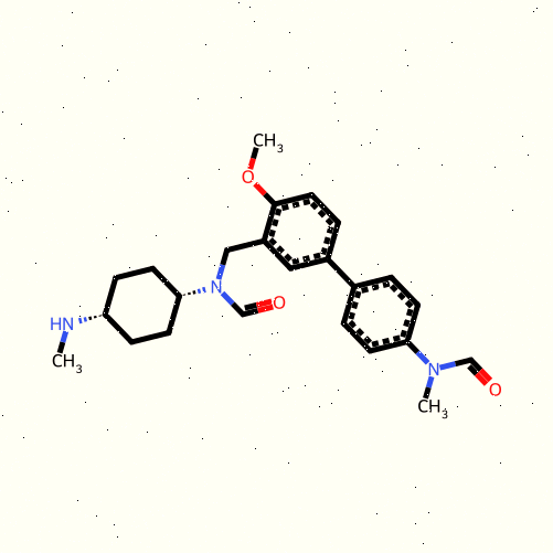 CN[C@H]1CC[C@@H](N(C=O)Cc2cc(-c3ccc(N(C)C=O)cc3)ccc2OC)CC1